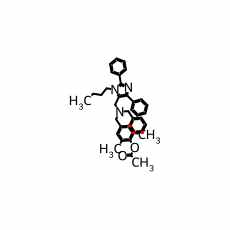 CCCCn1c(-c2ccccc2)nc(-c2ccccc2)c1CN(Cc1ccccc1)Cc1cc(C)c(OC(C)=O)c(C)c1